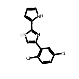 Clc1ccc(Cl)c(-c2c[nH]c(-c3ccc[nH]3)n2)c1